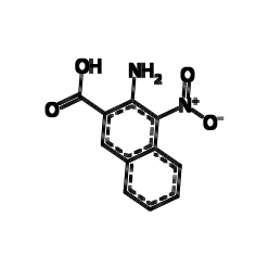 Nc1c(C(=O)O)cc2ccccc2c1[N+](=O)[O-]